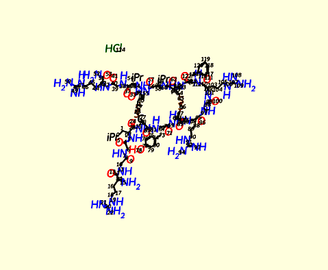 CC(C)C[C@H](NC(=O)CNC(=O)CNC(=O)[C@@H](N)CCCNC(=N)N)C(=O)N[C@H]1CSSC[C@@H](C(=O)N[C@H](C(=O)NCC(=O)N[C@@H](CCCNC(=N)N)C(N)=O)C(C)C)NC(=O)[C@H](C(C)C)NC(=O)[C@@H]2CSSC[C@H](NC(=O)[C@H](Cc3ccc(O)cc3)NC1=O)C(=O)N[C@@H](CCCNC(=N)N)C(=O)NCC(=O)N[C@@H](CCCNC(=N)N)C(=O)N[C@@H](Cc1ccccc1)C(=O)N2.Cl